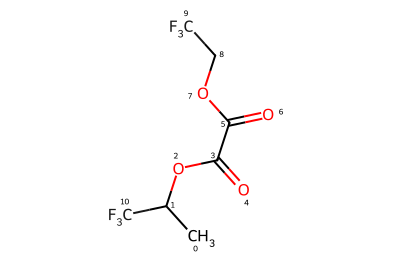 CC(OC(=O)C(=O)OCC(F)(F)F)C(F)(F)F